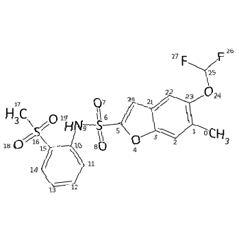 Cc1cc2oc(S(=O)(=O)Nc3ccccc3S(C)(=O)=O)cc2cc1OC(F)F